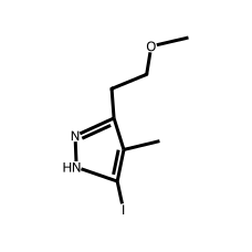 COCCc1n[nH]c(I)c1C